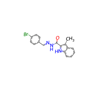 Cc1c(C(=O)NN=Cc2ccc(Br)cc2)[nH]c2ccccc12